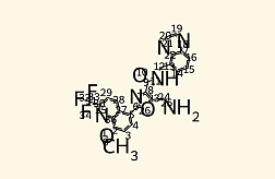 COc1ccc(-c2nc(C(=O)NCc3cccc4nccnc34)c(CN)o2)c2ccc(C(F)(F)F)nc12